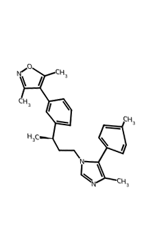 Cc1ccc(-c2c(C)ncn2CC[C@@H](C)c2cccc(-c3c(C)noc3C)c2)cc1